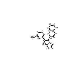 Cc1cccc(-c2nc3sccn3c2-c2ccc3ncccc3n2)n1